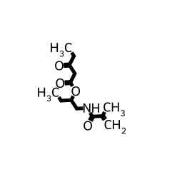 C=C(C)C(=O)NCC(CC)OC(=O)CC(=O)CC